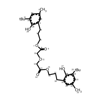 Cc1cc(CCCOC(=O)COCC(=O)OCCCc2cc(C)cc(C(C)(C)C)c2O)c(O)c(C(C)(C)C)c1